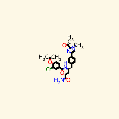 CC(=O)c1nc(-c2ccc(C[C@@H](CCC(N)=O)NC(=O)c3ccc(OC(C)C)c(Cl)c3)cc2)cn1C